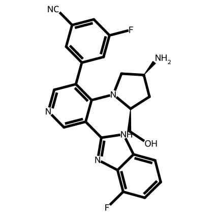 N#Cc1cc(F)cc(-c2cncc(-c3nc4c(F)cccc4[nH]3)c2N2C[C@@H](N)C[C@H]2CO)c1